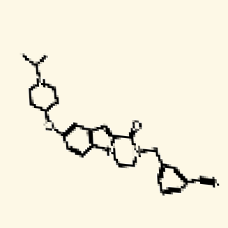 CC(C)N1CCC(Oc2ccc3c(c2)cc2n3CCN(Cc3cccc(C#N)c3)C2=O)CC1